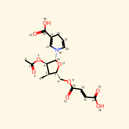 CC(=O)O[C@@H]1[C@H](C)[C@@H](COC(=O)/C=C/C(=O)O)O[C@H]1N1C=CCC(C(=O)O)=C1